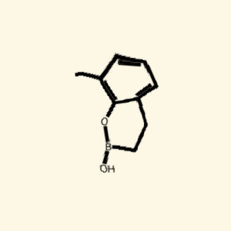 Cc1cccc2c1OB(O)CC2